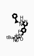 CC(C)(C)c1noc(C(=O)NCc2ccc(-c3ccnc4[nH]c([C@@H]5CC5c5ccccc5)nc34)cc2F)n1